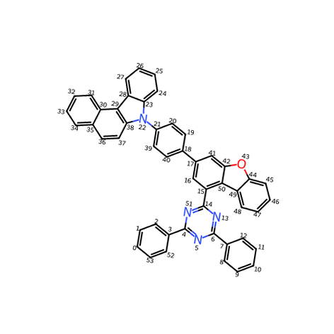 c1ccc(-c2nc(-c3ccccc3)nc(-c3cc(-c4ccc(-n5c6ccccc6c6c7ccccc7ccc65)cc4)cc4oc5ccccc5c34)n2)cc1